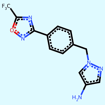 Nc1cnn(Cc2ccc(-c3noc(C(F)(F)F)n3)cc2)c1